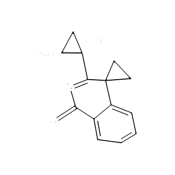 O=C1N=C([C@]2(F)C[C@H]2F)C2(CC2)c2ccccc21